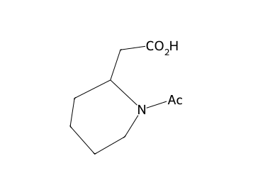 CC(=O)N1CCCCC1CC(=O)O